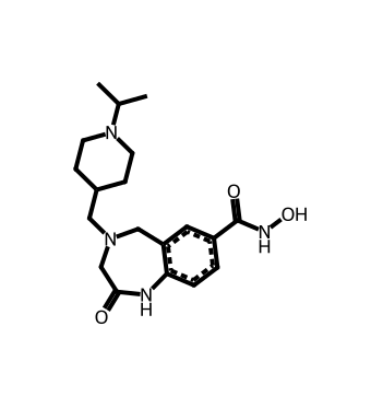 CC(C)N1CCC(CN2CC(=O)Nc3ccc(C(=O)NO)cc3C2)CC1